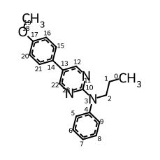 CCCN(c1ccccc1)c1ncc(-c2ccc(OC)cc2)cn1